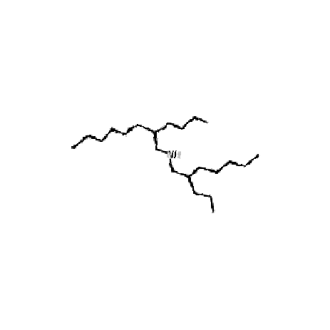 CCCCCCC(CCCC)CNCC(CCC)CCCCC